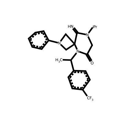 CC(C)N1CC(=O)N(C(C)c2ccc(C(F)(F)F)cc2)C2(CN(c3ccccc3)C2)C1=N